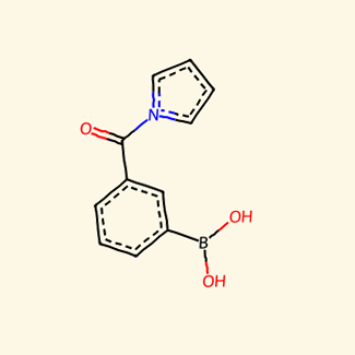 O=C(c1cccc(B(O)O)c1)n1cccc1